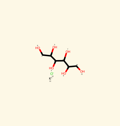 OCC(O)C(O)C(O)C(O)CO.[Cl-].[K+]